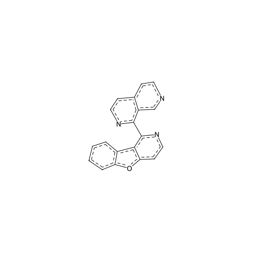 c1ccc2c(c1)oc1ccnc(-c3nccc4ccncc34)c12